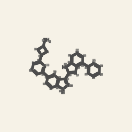 NC1CN(c2cncc(-c3ccc4[nH]nc(-c5nc6c(-c7ccccn7)cncc6[nH]5)c4n3)n2)C1